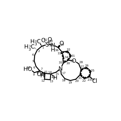 C[C@@H]1[C@@H](C)CCC[C@](O)(CO)[C@@H]2CC[C@H]2CN2CCCCc3cc(Cl)ccc3COc3ccc(cc32)C(=O)NS1(=O)=O